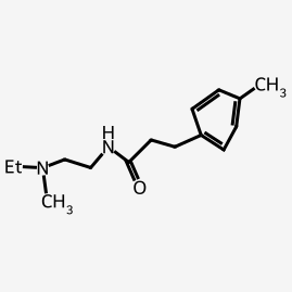 CCN(C)CCNC(=O)CCc1ccc(C)cc1